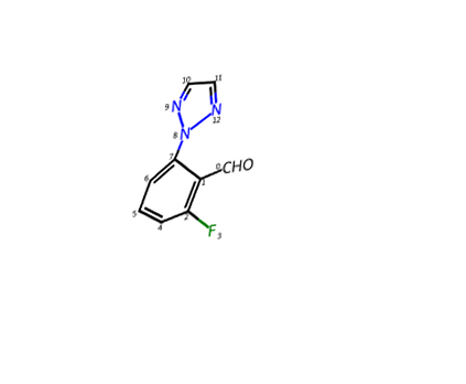 O=Cc1c(F)cccc1-n1nccn1